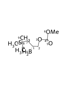 B[C@@H](COC(=O)OC)C[Si](C)(C)C